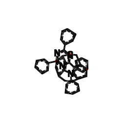 c1ccc(-c2nc(-c3ccccc3)nc(-c3cc4ccc3CCc3ccc(c(N(c5ccccc5)c5ccccc5)c3)CC4)n2)cc1